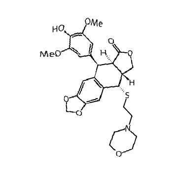 COc1cc([C@@H]2c3cc4c(cc3[C@@H](SCCN3CCOCC3)[C@H]3COC(=O)[C@H]23)OCO4)cc(OC)c1O